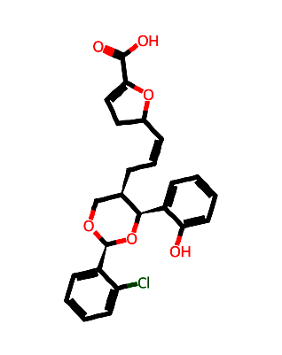 O=C(O)C1=CCC(/C=C\C[C@@H]2CO[C@H](c3ccccc3Cl)O[C@@H]2c2ccccc2O)O1